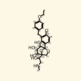 CCOc1ccc(Cc2cc(C34OCC(C(O)CNC)(O3)[C@@H](O)[C@H](O)[C@H]4O)ccc2Cl)cc1